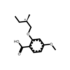 CC[C@@H](C)COc1cc(OC)ccc1C(=O)O